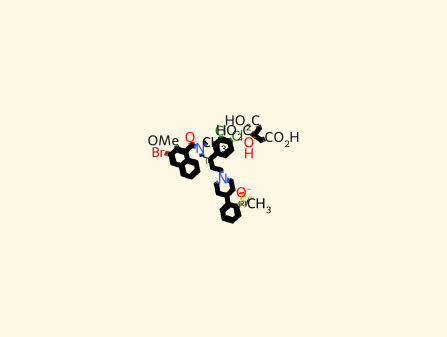 COc1c(Br)cc2ccccc2c1C(=O)N(C)C[C@@H](CCN1CCC(c2ccccc2[S@+](C)[O-])CC1)c1ccc(Cl)c(Cl)c1.O=C(O)CC(O)(CC(=O)O)C(=O)O